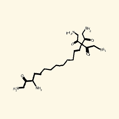 NCC(=O)C(N)CCCCCCCCCCC(C(=O)CN)(C(=O)CN)C(=O)CN